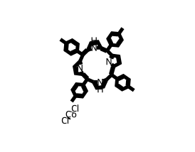 Cc1ccc(-c2c3nc(c(-c4ccc(C)cc4)c4ccc([nH]4)c(-c4ccc(C)cc4)c4nc(c(-c5ccc(C)cc5)c5ccc2[nH]5)C=C4)C=C3)cc1.[Cl][Co][Cl]